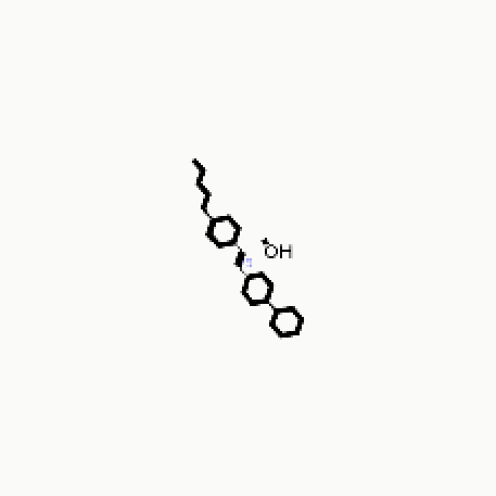 CCCCC[C@H]1CC[C@H](/C=C/[C@H]2CC[C@H](C3CCCCC3)CC2)CC1.CO